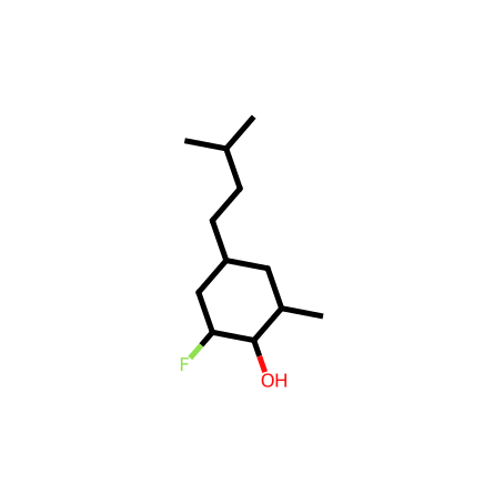 CC(C)CCC1CC(C)C(O)C(F)C1